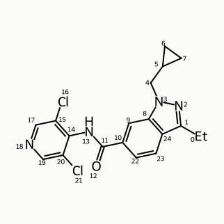 CCc1nn(CC2CC2)c2cc(C(=O)Nc3c(Cl)cncc3Cl)ccc12